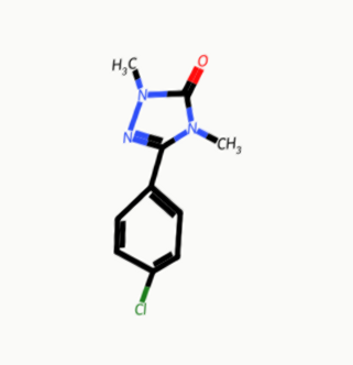 Cn1nc(-c2ccc(Cl)cc2)n(C)c1=O